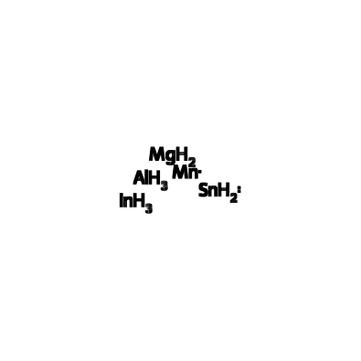 [AlH3].[InH3].[MgH2].[Mn].[SnH2]